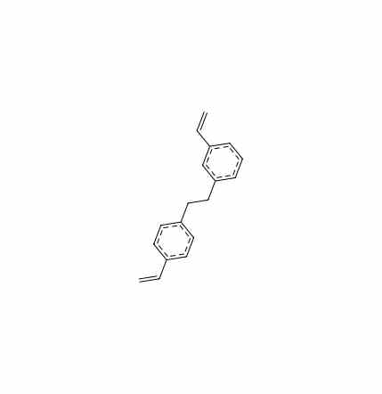 C=Cc1ccc(CCc2cccc(C=C)c2)cc1